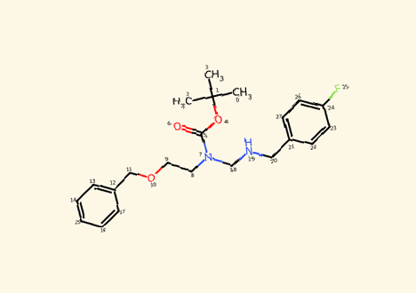 CC(C)(C)OC(=O)N(CCOCc1ccccc1)CNCc1ccc(F)cc1